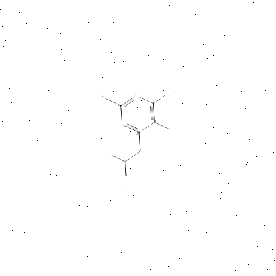 CC(O)Cc1nc(N)nc(Cl)c1N